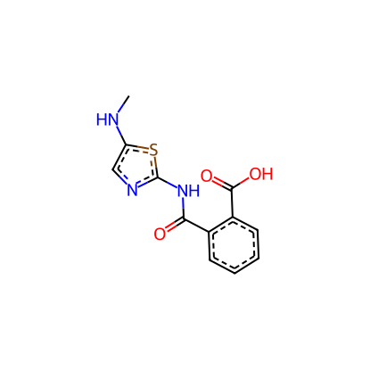 CNc1cnc(NC(=O)c2ccccc2C(=O)O)s1